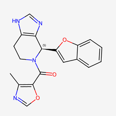 Cc1ncoc1C(=O)N1CCc2[nH]cnc2[C@H]1c1cc2ccccc2o1